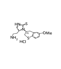 COc1ccc2c(c1)C[C@H](n1c(CCN)c[nH]c1=S)CS2.Cl